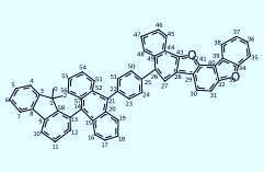 CC1(C)c2ccccc2-c2cccc(-c3c4ccccc4c(-c4ccc(-c5cc6c7ccc8oc9ccccc9c8c7oc6c6ccccc56)cc4)c4ccccc34)c21